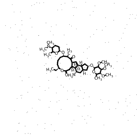 CC[C@H]1CCC[C@H](O[C@H]2CC[C@H](N(C)C)C(C)O2)[C@@H](C)C(=O)C2C[C@H]3[C@@H]4C[C@H](O[C@@H]5OC(C)[C@H](OC)C(OC)C5OC)C[C@H]4C[C@H](N)[C@H]3[C@@H]2CC(=O)O1